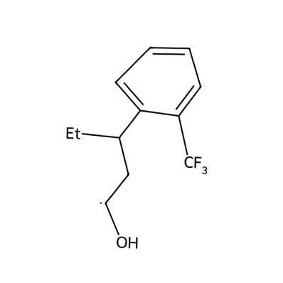 [CH2]CC(C[CH]O)c1ccccc1C(F)(F)F